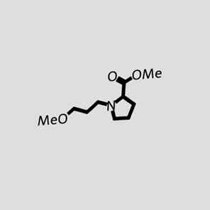 COCCCN1CCCC1C(=O)OC